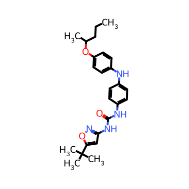 CCCC(C)Oc1ccc(Nc2ccc(NC(=O)Nc3cc(C(C)(C)C)on3)cc2)cc1